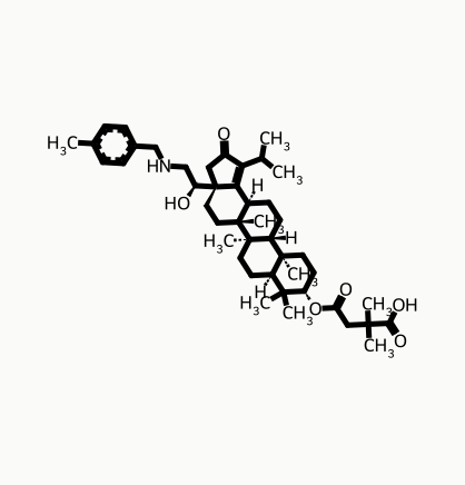 Cc1ccc(CNC[C@H](O)[C@@]23CC[C@]4(C)[C@H](CC[C@@H]5[C@@]6(C)CC[C@H](OC(=O)CC(C)(C)C(=O)O)C(C)(C)[C@H]6CC[C@]54C)C2=C(C(C)C)C(=O)C3)cc1